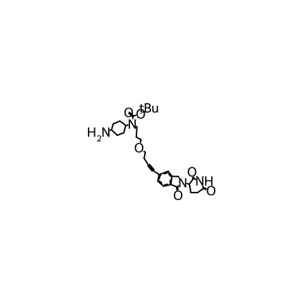 CC(C)(C)OC(=O)N(CCCOCCC#Cc1ccc2c(c1)CN(C1CCC(=O)NC1=O)C2=O)C1CCC(N)CC1